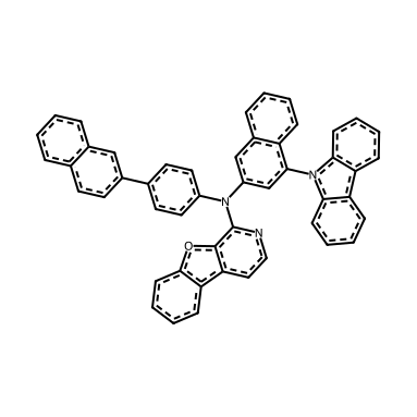 c1ccc2cc(-c3ccc(N(c4cc(-n5c6ccccc6c6ccccc65)c5ccccc5c4)c4nccc5c4oc4ccccc45)cc3)ccc2c1